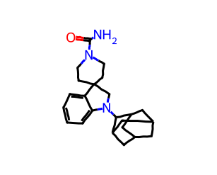 NC(=O)N1CCC2(CC1)CN(C1C3CC4CC(C3)CC1C4)c1ccccc12